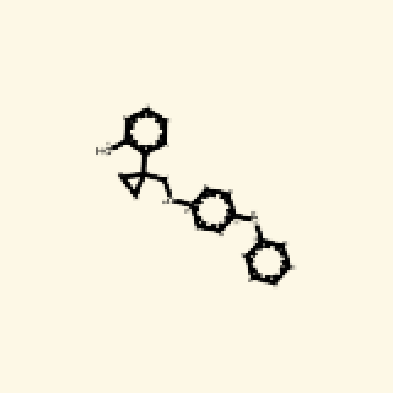 Oc1ccccc1C1(COc2ccc(Oc3ccccc3)cc2)CC1